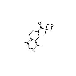 CC1=N[C@@H](C)C(C)=C2CN(C(=O)C3(C)COC3)CCN12